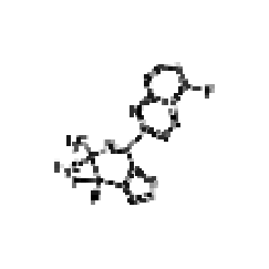 CC1(C)N=C(c2cnc3c(F)cccc3n2)c2sccc2C1(F)F